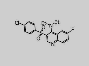 CCN(CC)c1c(S(=O)(=O)c2ccc(Cl)cc2)cnc2ccc(F)cc12